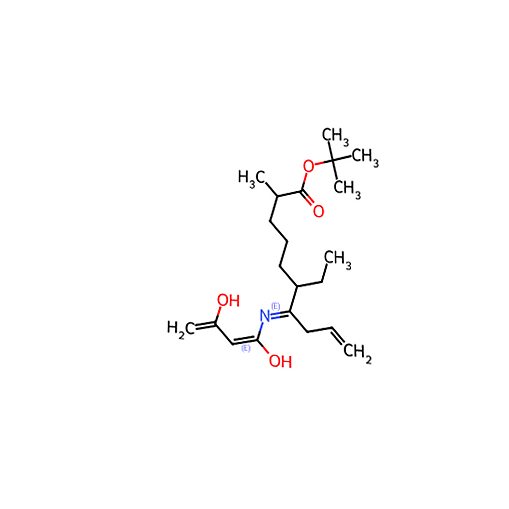 C=CC/C(=N\C(O)=C/C(=C)O)C(CC)CCCC(C)C(=O)OC(C)(C)C